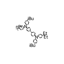 CCCC(C)(C)c1ccc(N(c2ccc(-c3ccc(N(c4ccc(C(C)CC)cc4)c4ccc(C(C)(CC)CC)cc4)cc3)cc2)c2ccc(C(C)CC)cc2)cc1